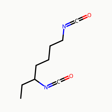 CCC(CCCCN=C=O)N=C=O